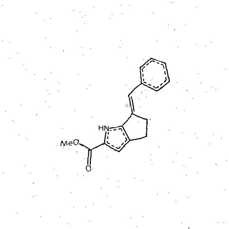 COC(=O)c1cc2c([nH]1)/C(=C/c1ccccc1)CC2